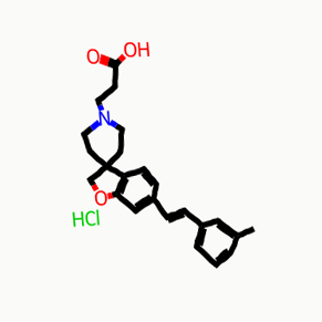 Cc1cccc(/C=C/c2ccc3c(c2)OCC32CCN(CCC(=O)O)CC2)c1.Cl